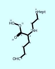 CCCCCCCCCNC(CCCC=O)C(=O)OO